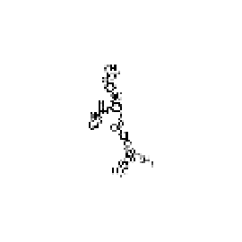 C=CC(=O)OCC(COc1ccc(C(=O)OCCc2ccc(OC(=O)c3ccc(OC(=O)C=C)cc3)c(/C=N/NC3=NC4C=CC=CC4S3)c2)cc1)OC(=O)C=C